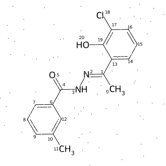 C/C(=N\NC(=O)c1cccc(C)c1)c1cccc(Cl)c1O